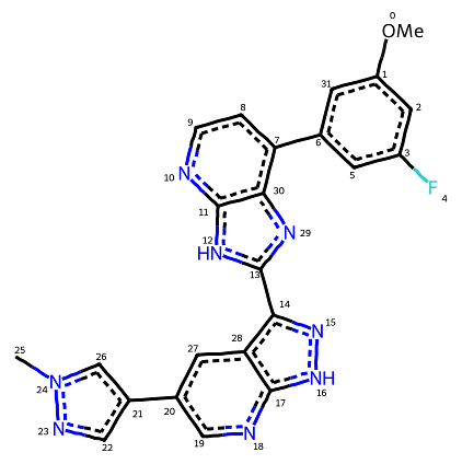 COc1cc(F)cc(-c2ccnc3[nH]c(-c4n[nH]c5ncc(-c6cnn(C)c6)cc45)nc23)c1